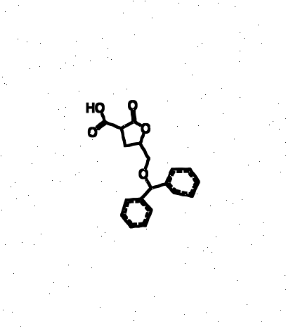 O=C(O)C1CC(COC(c2ccccc2)c2ccccc2)OC1=O